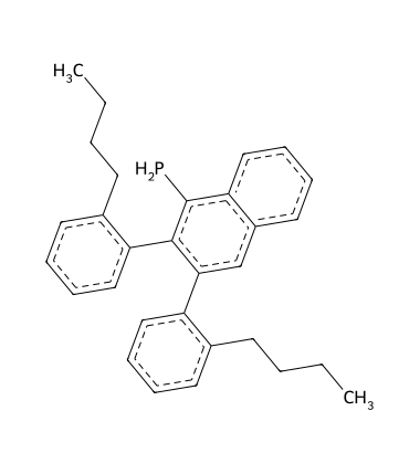 CCCCc1ccccc1-c1cc2ccccc2c(P)c1-c1ccccc1CCCC